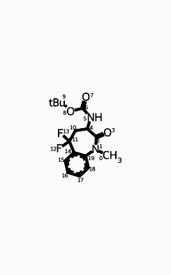 CN1C(=O)C(NC(=O)OC(C)(C)C)CC(F)(F)c2ccccc21